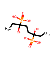 CCC(O)(CCC(O)(CC)P(=O)(O)O)P(=O)(O)O